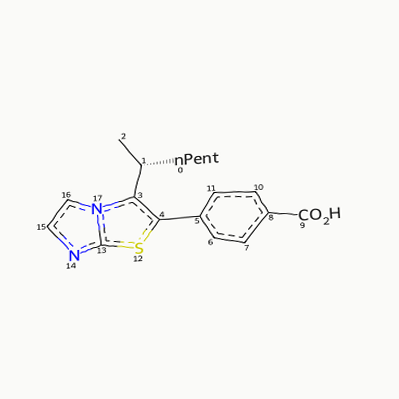 CCCCC[C@@H](C)c1c(-c2ccc(C(=O)O)cc2)sc2nccn12